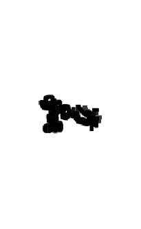 CS(=O)(=O)c1ccc(N2CCOCC2)c(C(=O)N2CCN(c3ccc(C(F)(F)F)cn3)CC2)c1